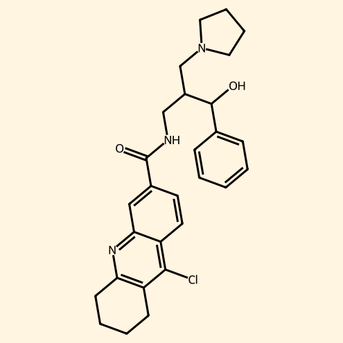 O=C(NCC(CN1CCCC1)C(O)c1ccccc1)c1ccc2c(Cl)c3c(nc2c1)CCCC3